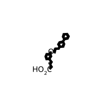 O=C(O)CSCc1cccc(O/C=C/Cc2ccc(-c3ccccc3)cc2)c1